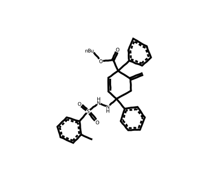 C=C1CC(NNS(=O)(=O)c2ccccc2C)(c2ccccc2)C=CC1(C(=O)OCCCC)c1ccccc1